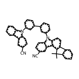 CC1(C)c2ccccc2-c2ccc3c(c21)c1cc(C#N)ccc1n3-c1cccc(-c2cccc(-n3c4ccccc4c4cc(C#N)ccc43)c2)c1